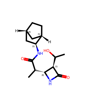 CC(C(=O)N[C@H]1C[C@@H]2CC[C@H]1C2)[C@H]1NC(=O)[C@@H]1C(C)O